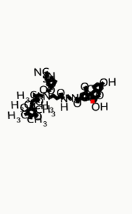 CC1=C(C)C(=O)C(C(C)(C)CC(=O)N(C)CCN(CCCC(=O)NCCNC(=O)c2ccc3c(c2)C(=O)OC32c3ccc(O)cc3Oc3cc(O)ccc32)C(=O)Oc2ccc3nc(C#N)sc3c2)=C(C)C1=O